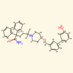 CC(C)(CCC(C(N)=O)(c1ccccc1)c1ccccc1)N1CCC(OCc2cccc(-c3cccc(O)c3)c2)CC1